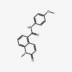 COc1ccc(NC(=O)c2cccc3c2ccc(=O)n3C)cc1